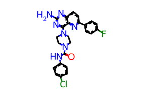 Nc1nc(N2CCN(C(=O)Nc3ccc(Cl)cc3)CC2)c2nc(-c3ccc(F)cc3)ccc2n1